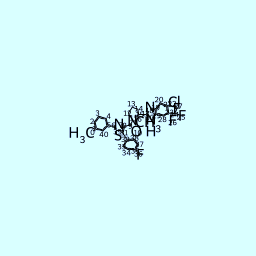 Cc1cccc(-c2nc(C(=O)N3CCC[C@@]3(C)c3nc4cc(Cl)c(C(F)(F)F)cc4[nH]3)c(-c3ccc(F)cc3)s2)c1